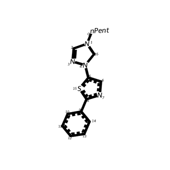 CCCCCN1C=NN(c2cnc(-c3ccccc3)s2)C1